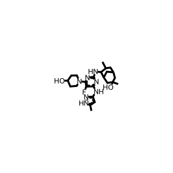 Cc1cc(Nc2nc(NC3C(C)CC4CC3CC(C)(O)C4)nc(N3CCC(O)CC3)c2F)n[nH]1